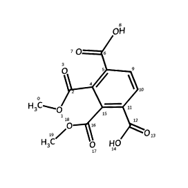 COC(=O)c1c(C(=O)O)ccc(C(=O)O)c1C(=O)OC